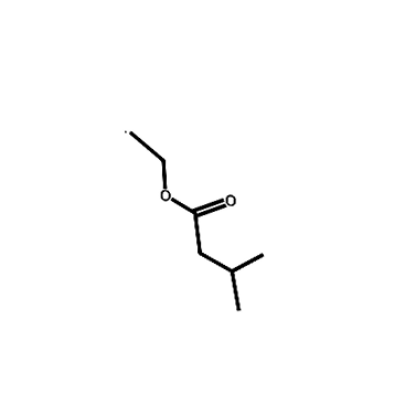 [CH2]COC(=O)CC(C)C